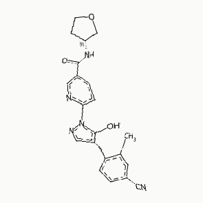 Cc1cc(C#N)ccc1-c1cnn(-c2ccc(C(=O)N[C@@H]3CCOC3)cn2)c1O